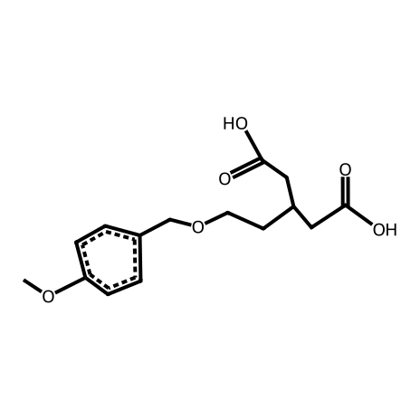 COc1ccc(COCCC(CC(=O)O)CC(=O)O)cc1